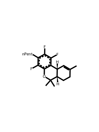 CCCCCc1c(F)c(F)c2c(c1F)OC(C)(C)[C@H]1CCC(C)=C[C@@H]21